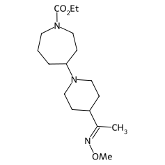 CCOC(=O)N1CCCC(N2CCC(/C(C)=N/OC)CC2)CC1